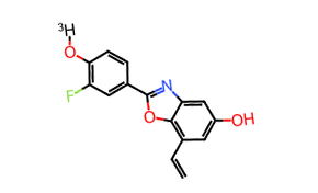 [3H]Oc1ccc(-c2nc3cc(O)cc(C=C)c3o2)cc1F